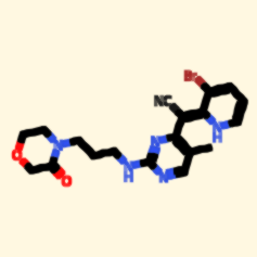 Cc1cnc(NCCCN2CCOCC2=O)nc1C(C#N)=C1NC=CC=C1Br